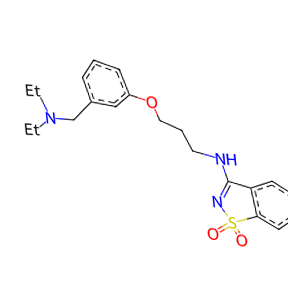 CCN(CC)Cc1cccc(OCCCNC2=NS(=O)(=O)c3ccccc32)c1